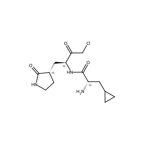 N[C@@H](CC1CC1)C(=O)N[C@@H](C[C@@H]1CCNC1=O)C(=O)CCl